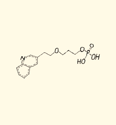 O=P(O)(O)OCCCOCCc1cnc2ccccc2c1